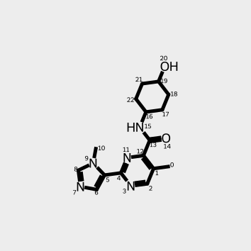 Cc1cnc(-c2cncn2C)nc1C(=O)NC1CCC(O)CC1